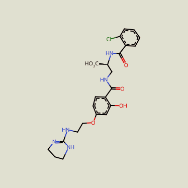 O=C(NC[C@H](NC(=O)c1ccccc1Cl)C(=O)O)c1ccc(OCCNC2=NCCCN2)cc1O